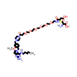 CCCCCNc1nc(N)nc2ccn(Cc3ccc(CN4CCN(C(=O)CCOCCOCCOCCOCCOCCOCCNC(=O)C(CC(=O)O)SC[C@H](N)C(=O)O)CC4)cc3OC)c12